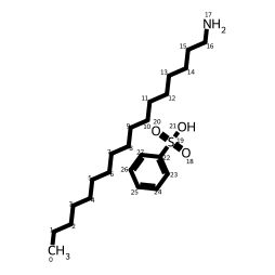 CCCCCCCCCCCCCCCCCN.O=S(=O)(O)c1ccccc1